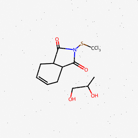 CC(O)CO.O=C1C2CC=CCC2C(=O)N1SC(Cl)(Cl)Cl